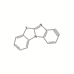 c1ccc2c(c#1)nc1sc3ccccc3n12